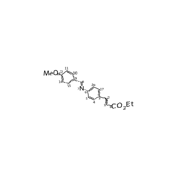 CCOC(=O)/C=C/c1ccc(N=Cc2ccc(OC)cc2)cc1